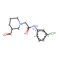 O=CC1CCCN(CC(=O)Nc2cccc(Cl)c2)C1